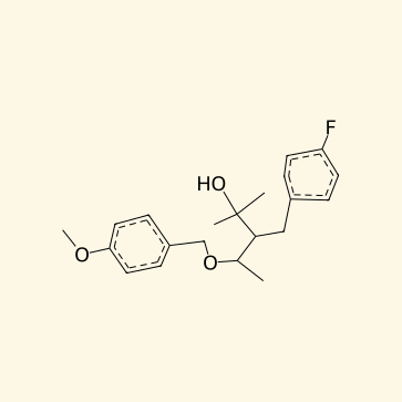 COc1ccc(COC(C)C(Cc2ccc(F)cc2)C(C)(C)O)cc1